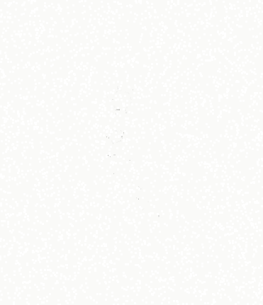 CC(C)(C)S(=O)(=O)NC[C@H]1CC[C@H](Nc2nc(Cc3ccccc3)no2)CC1